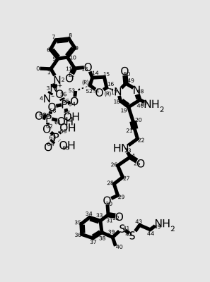 CC(N=[N+]=[N-])c1ccccc1C(=O)OC1C[C@H](n2cc(C#CCNC(=O)CCCCOC(=O)c3ccccc3C(C)SSCCN)c(N)nc2=O)O[C@@H]1COP(=O)(O)OP(=O)(O)OP(=O)(O)O